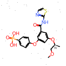 COC[C@H](C)Oc1cc(Oc2ccc(P(=O)(O)O)cc2)cc(C(=O)Nc2nccs2)c1